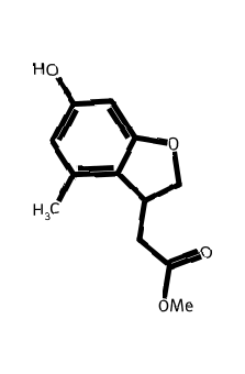 COC(=O)CC1COc2cc(O)cc(C)c21